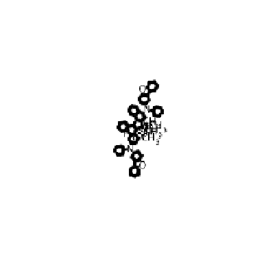 C[Si](C)(C)C1([Si](C)(C)C)c2cc(N(c3ccccc3)c3ccc4oc5ccccc5c4c3)c3ccccc3c2-c2c1c1ccc(N(c3ccccc3)c3ccc4oc5ccccc5c4c3)cc1c1ccccc21